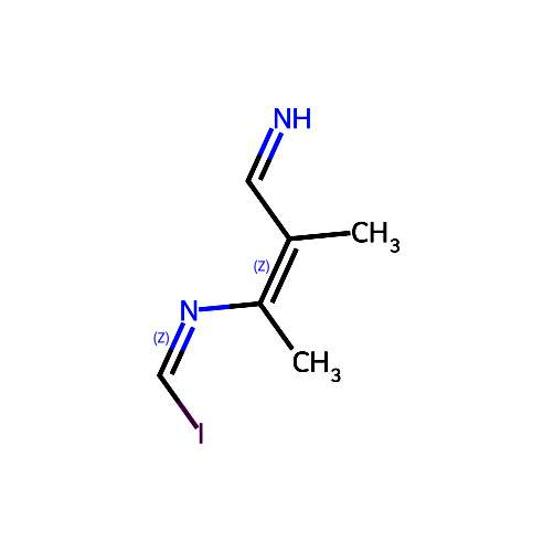 C/C(C=N)=C(C)/N=C\I